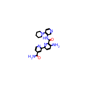 NC(=O)c1ccnc(-c2ccc(N)c(C(=O)Nc3cnccc3N3CCCCC3)n2)c1